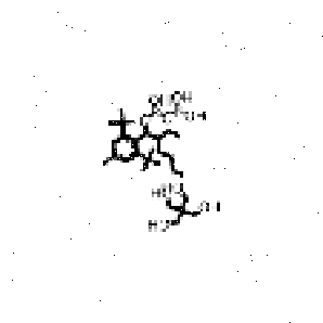 CCCCC(CC)C(OP(O)OP(O)O)c1c(C(C)(C)C)cc(C)cc1C(C)(C)C.OCC(CO)(CO)CO